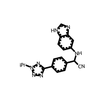 CC(C)n1nnc(-c2ccc(C(C#N)Nc3ccc4[nH]cnc4c3)cc2)n1